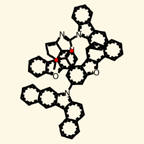 CC1C/C=C(c2cccc3oc4ccccc4c23)/N=C(n2c3ccccc3c3ccccc32)\N=C/1c1cc(-n2c3cc4ccccc4cc3c3c4ccccc4ccc32)cc2oc3c4ccccc4ccc3c12